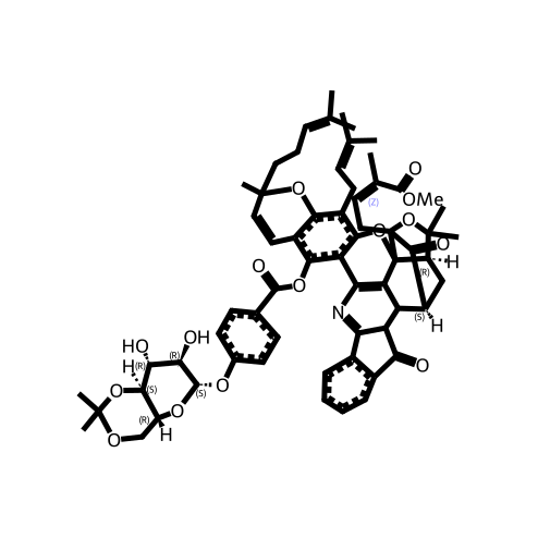 COC(=O)/C(C)=C\CC12OC(C)(C)[C@H]3C[C@H](C1=O)C1C4=C(N=C5c6ccccc6C(=O)C51)c1c(OC(=O)c5ccc(O[C@@H]6O[C@@H]7COC(C)(C)O[C@H]7[C@H](O)[C@H]6O)cc5)c5c(c(CC=C(C)C)c1OC432)OC(C)(CCC=C(C)C)C=C5